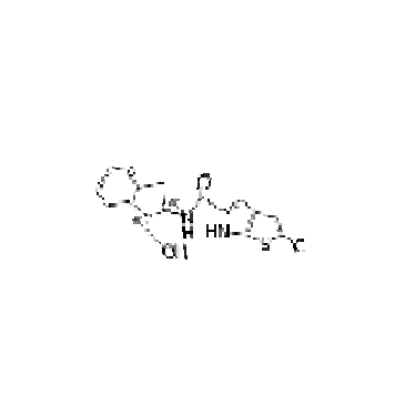 O=C(N[C@@H]1Cc2ccccc2[C@H]1CO)c1cc2cc(Cl)sc2[nH]1